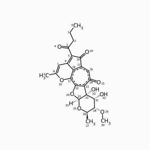 CCCC(=O)C1=C2C=C(C)Oc3c4c(c(=O)cc(c32)C1=O)[C@]1(O)[C@H](O4)O[C@H](C)[C@@H](OC)[C@H]1O